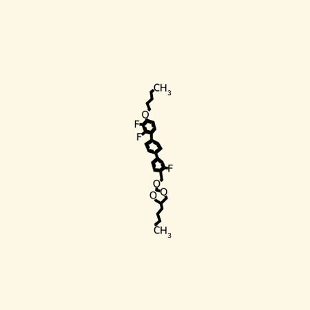 CCCCCOc1ccc(-c2ccc(-c3ccc(COC4OCC(CCCCC)CO4)c(F)c3)cc2)c(F)c1F